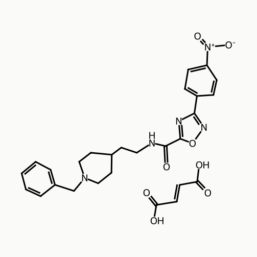 O=C(NCCC1CCN(Cc2ccccc2)CC1)c1nc(-c2ccc([N+](=O)[O-])cc2)no1.O=C(O)C=CC(=O)O